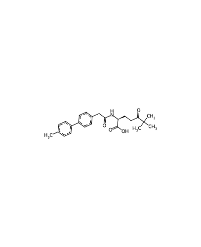 Cc1ccc(-c2ccc(CC(=O)N[C@@H](CCC(=O)C(C)(C)C)C(=O)O)cc2)cc1